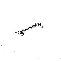 C/C=C/C=CCC/C=C/C(=O)O